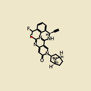 C#C[C@@H](Nc1nc(C)nc2cc(=O)n(C3C[C@H]4CC[C@@H](C3)N4C)cc12)c1cccc(C(F)F)c1C